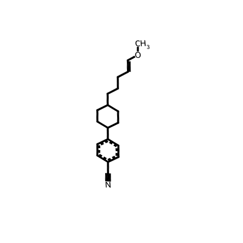 COC=CCCCC1CCC(c2ccc(C#N)cc2)CC1